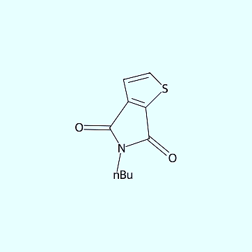 CCCCN1C(=O)c2ccsc2C1=O